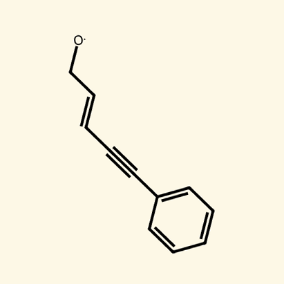 [O]C/C=C/C#Cc1ccccc1